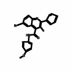 COc1c[c]c(NC(=O)c2c(C)c(-c3ccccc3)nc3ccc(Br)cc23)cc1